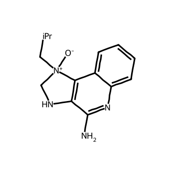 CC(C)C[N+]1([O-])CNc2c(N)nc3ccccc3c21